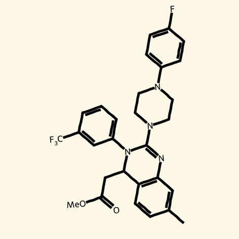 COC(=O)CC1c2ccc(C)cc2N=C(N2CCN(c3ccc(F)cc3)CC2)N1c1cccc(C(F)(F)F)c1